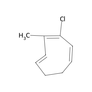 CC1=C(Cl)/C=C\CC\C=C\1